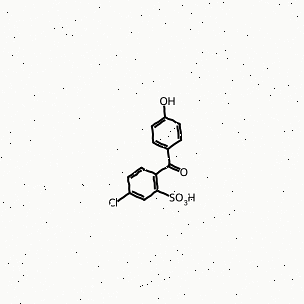 O=C(c1ccc(O)cc1)c1ccc(Cl)cc1S(=O)(=O)O